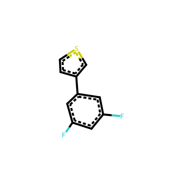 Fc1cc(F)cc(-c2ccsc2)c1